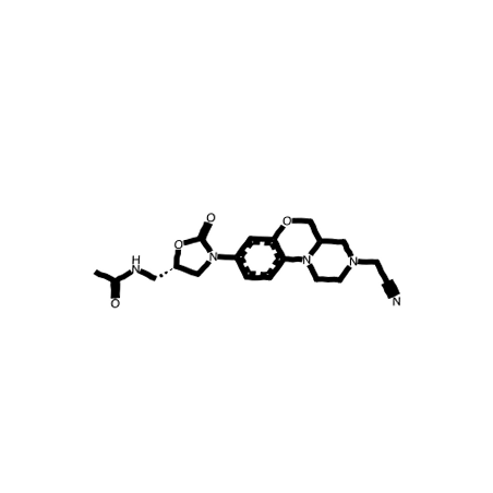 CC(=O)NC[C@H]1CN(c2ccc3c(c2)OCC2CN(CC#N)CCN32)C(=O)O1